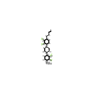 C=CCCc1ccc(C2C=CC(c3ccc(CCCC)c(F)c3F)CC2)c(F)c1F